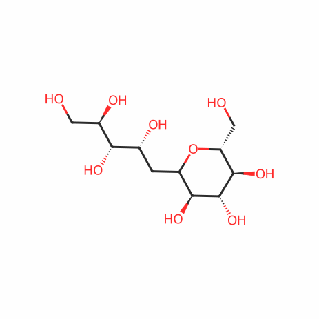 OC[C@@H](O)[C@@H](O)[C@H](O)CC1O[C@H](CO)[C@@H](O)[C@H](O)[C@H]1O